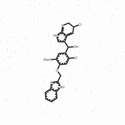 COc1cc(C(O)c2c[nH]c3c2=CC(Cl)CN=3)c(Cl)cc1OCc1nc2ccccc2[nH]1